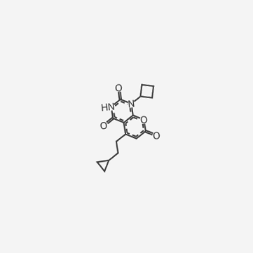 O=c1cc(CCC2CC2)c2c(=O)[nH]c(=O)n(C3CCC3)c2o1